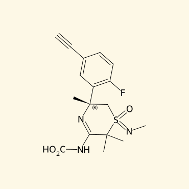 C#Cc1ccc(F)c([C@]2(C)CS(=O)(=NC)C(C)(C)C(NC(=O)O)=N2)c1